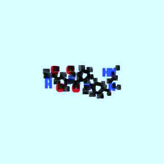 CNCCN(C)Cc1ccc(N(C)c2cccc3c2C(=O)N(C(C=O)CCC(=O)NC)C3=O)cc1